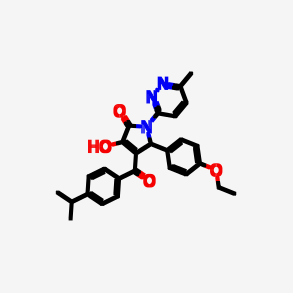 CCOc1ccc(C2C(C(=O)c3ccc(C(C)C)cc3)=C(O)C(=O)N2c2ccc(C)nn2)cc1